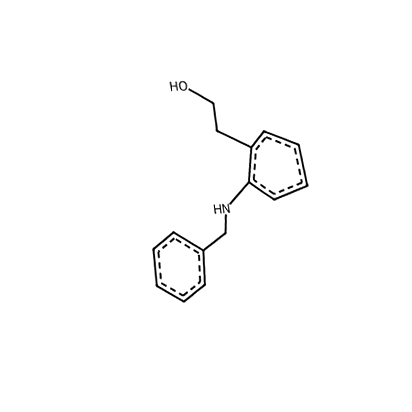 OCCc1ccccc1NCc1ccccc1